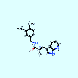 COc1ccc(CNC(=O)/C(C#N)=C/c2c[nH]c3ncccc23)cc1OC